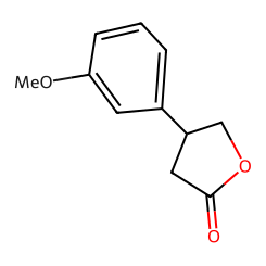 COc1cccc(C2COC(=O)C2)c1